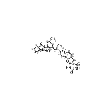 Cc1cc(CN(C)c2ccc3cc(C=C4C(=O)NC(=O)NC4=O)ccc3c2)c(O)c(-n2nc3ccccc3n2)c1